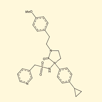 COc1ccc(CCN2CC[N+](NS(=O)(=O)Cc3cccnc3)(c3ccc(C4CC4)cc3)C2=O)cc1